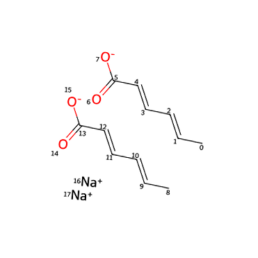 CC=CC=CC(=O)[O-].CC=CC=CC(=O)[O-].[Na+].[Na+]